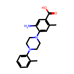 Cc1cc(N2CCN(c3ccccc3C)CC2)c(N)cc1C(=O)O